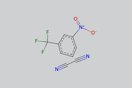 N#CC#N.O=[N+]([O-])c1cccc(C(F)(F)F)c1